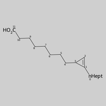 CCCCCCCC1=CC1CCCCCCCC(=O)O